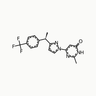 Cc1nc(-n2ccc([C@H](C)c3ccc(C(F)(F)F)cc3)n2)cc(=O)[nH]1